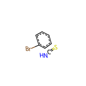 Brc1ccccc1.N=C=S